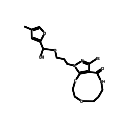 CCc1nn(CCCOC(O)c2cc(C)co2)c2c1C(=O)NCCCOCCC2